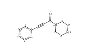 O=C(C#Cc1ccccc1)N1CCNCC1